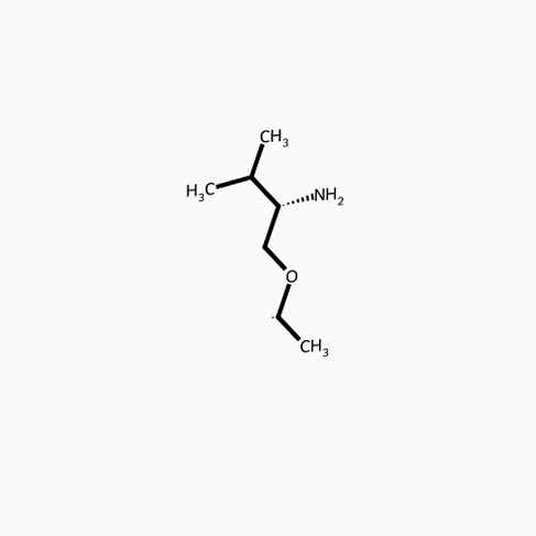 C[CH]OC[C@@H](N)C(C)C